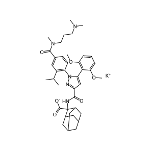 COc1cccc(OC)c1-c1cc(C(=O)NC2(C(=O)[O-])C3CC4CC(C3)CC2C4)nn1-c1ccc(C(=O)N(C)CCCN(C)C)cc1C(C)C.[K+]